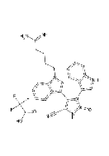 N#Cc1[nH]c(=O)n(-c2c[nH]c3ccccc23)c1-c1cn(CCCCC(=N)N)c2ccccc12.O=C(O)C(F)(F)F